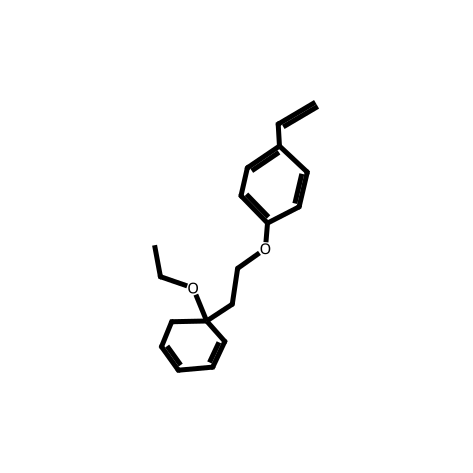 C=Cc1ccc(OCCC2(OCC)C=CC=CC2)cc1